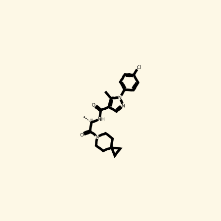 Cc1c(C(=O)N[C@@H](C)C(=O)N2CCC3(CC2)CC3)cnn1-c1ccc(Cl)cc1